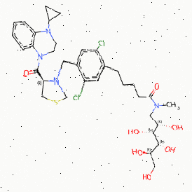 CN(C[C@H](O)[C@@H](O)[C@H](O)[C@H](O)CO)C(=O)CCCCc1cc(Cl)c(CN2CSC[C@H]2C(=O)N2CCN(C3CC3)c3ccccc32)cc1Cl